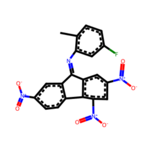 Cc1ccc(F)cc1N=C1c2cc([N+](=O)[O-])ccc2-c2c1cc([N+](=O)[O-])cc2[N+](=O)[O-]